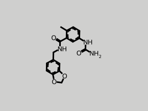 Cc1ccc(NC(N)=O)cc1C(=O)NCc1ccc2c(c1)OCO2